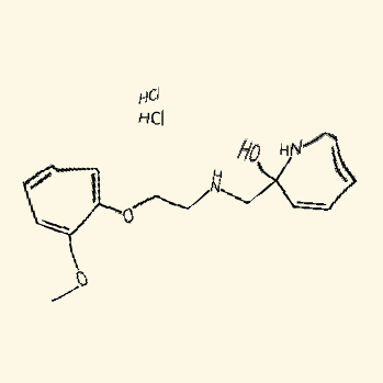 COc1ccccc1OCCNCC1(O)C=CC=CN1.Cl.Cl